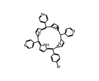 Brc1ccc(/C2=c3\cc/c([nH]3)=C(\c3ccncc3)C3=N/C(=C(/c4ccncc4)c4ccc([nH]4)C(c4ccncc4)C4C=CC2=N4)C=C3)cc1